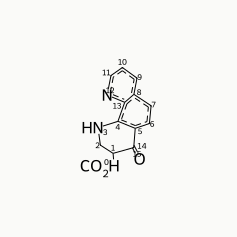 O=C(O)C1CNc2c(ccc3cccnc23)C1=O